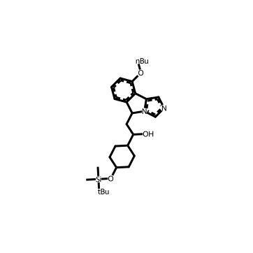 CCCCOc1cccc2c1-c1cncn1C2CC(O)C1CCC(O[Si](C)(C)C(C)(C)C)CC1